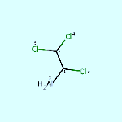 [AlH2][CH](Cl)C(Cl)Cl